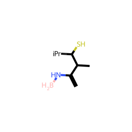 BNC(=C)C(C)C(S)C(C)C